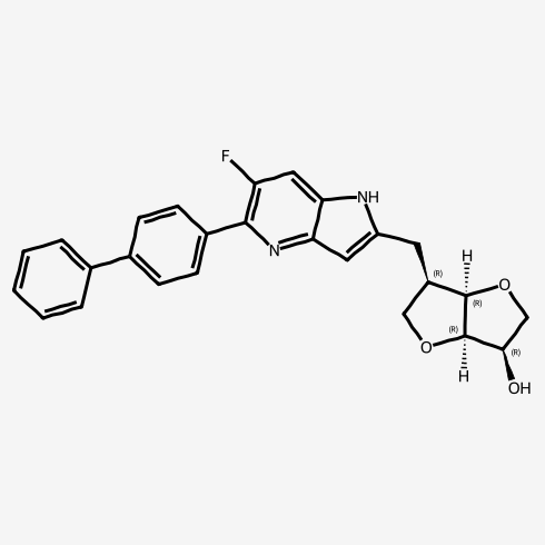 O[C@@H]1CO[C@@H]2[C@H](Cc3cc4nc(-c5ccc(-c6ccccc6)cc5)c(F)cc4[nH]3)CO[C@@H]21